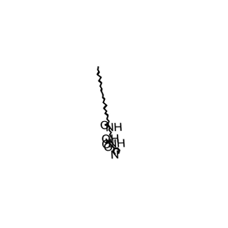 CCC=CCC=CCC=CCC=CCC=CCC=CCCC(=O)NCCCC[C@H](NC(=O)c1cccnc1)C(=O)O